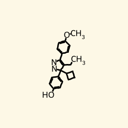 CCC1=C(c2ccc(OC)cc2)N=NC1(c1ccc(O)cc1)C1CCC1